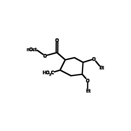 CCCCCCCCOC(=O)C1CC(OCC)C(OCC)CC1C(=O)O